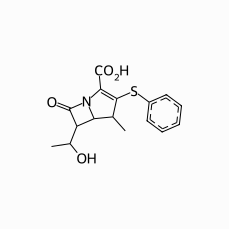 CC(O)C1C(=O)N2C(C(=O)O)=C(Sc3ccccc3)C(C)C12